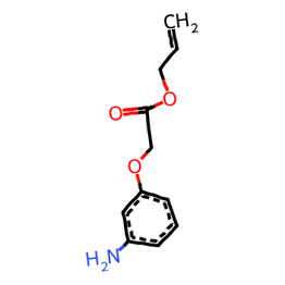 C=CCOC(=O)COc1cccc(N)c1